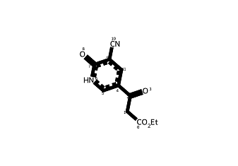 CCOC(=O)CC(=O)c1c[nH]c(=O)c(C#N)c1